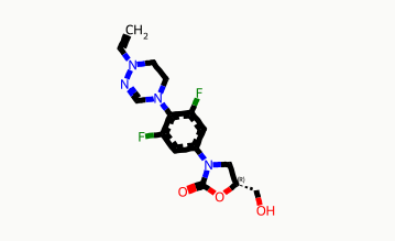 C=CN1CCN(c2c(F)cc(N3C[C@H](CO)OC3=O)cc2F)C=N1